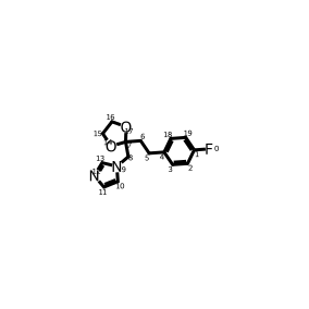 Fc1ccc(CCC2(Cn3ccnc3)OCCO2)cc1